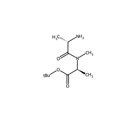 C[C@H](N)C(=O)N(C)[C@@H](C)C(=O)OC(C)(C)C